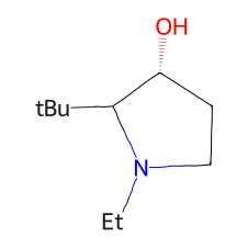 CCN1CC[C@@H](O)C1C(C)(C)C